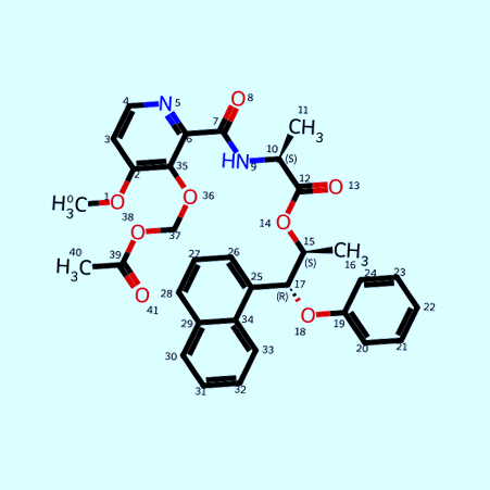 COc1ccnc(C(=O)N[C@@H](C)C(=O)O[C@@H](C)[C@H](Oc2ccccc2)c2cccc3ccccc23)c1OCOC(C)=O